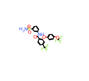 NS(=O)(=O)c1cccc(NC(=O)c2ccc(C(F)(F)F)cc2Oc2ccc(OC(F)(F)F)cc2)c1